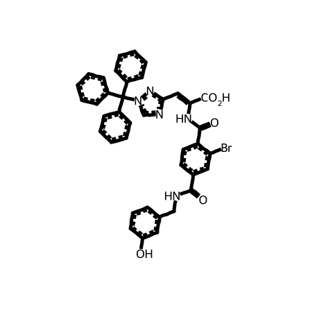 O=C(O)C(=Cc1ncn(C(c2ccccc2)(c2ccccc2)c2ccccc2)n1)NC(=O)c1ccc(C(=O)NCc2cccc(O)c2)cc1Br